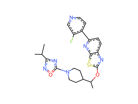 CC(C)c1noc(N2CCC(C(C)Oc3nc4ccc(-c5ccncc5F)nc4s3)CC2)n1